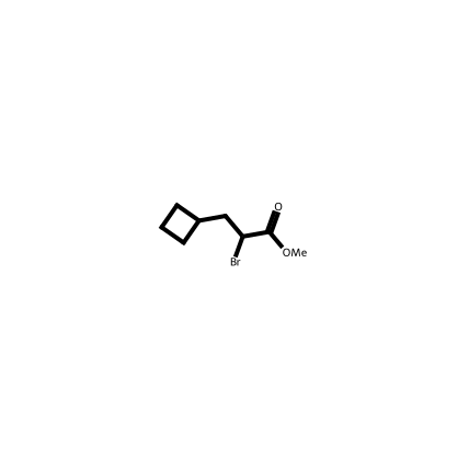 COC(=O)C(Br)CC1CCC1